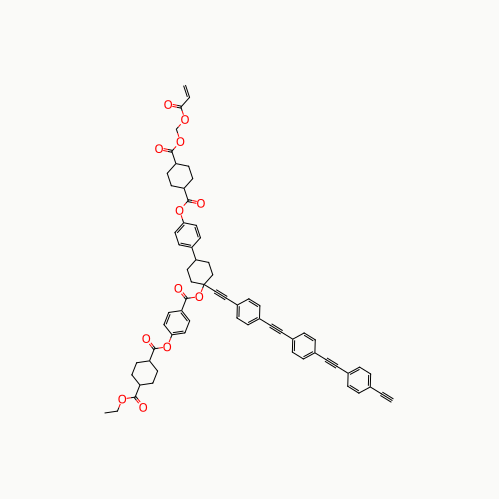 C#Cc1ccc(C#Cc2ccc(C#Cc3ccc(C#CC4(OC(=O)c5ccc(OC(=O)C6CCC(C(=O)OCC)CC6)cc5)CCC(c5ccc(OC(=O)C6CCC(C(=O)OCOC(=O)C=C)CC6)cc5)CC4)cc3)cc2)cc1